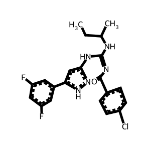 CCC(C)N/C(=N/C(=O)c1ccc(Cl)cc1)Nc1cc(-c2cc(F)cc(F)c2)[nH]n1